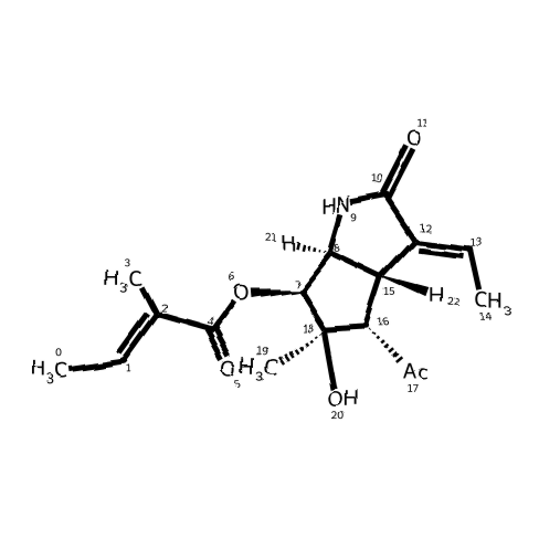 C/C=C(\C)C(=O)O[C@H]1[C@H]2NC(=O)/C(=C/C)[C@@H]2[C@H](C(C)=O)[C@@]1(C)O